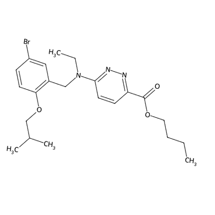 CCCCOC(=O)c1ccc(N(CC)Cc2cc(Br)ccc2OCC(C)C)nn1